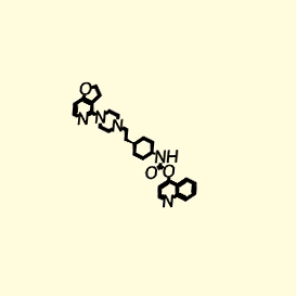 O=C(N[C@H]1CC[C@H](CCN2CCN(c3nccc4c3CCO4)CC2)CC1)Oc1ccnc2ccccc12